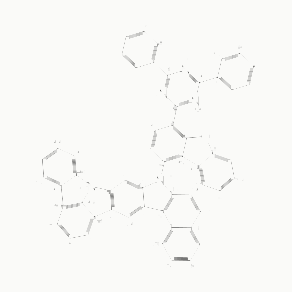 c1ccc(-c2nc(-c3ccccc3)nc(-c3ccc(-n4c5cc6c(cc5c5c7ccccc7ccc54)c4cccc5c7ccccc7n6c54)c4c3oc3ccccc34)n2)cc1